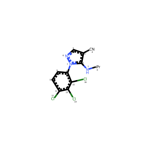 CC(C)Nc1c(C#N)cnn1-c1ccc(Cl)c(Cl)c1Cl